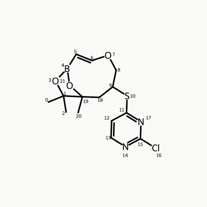 CC1(C)OB2/C=C/OCC(Sc3ccnc(Cl)n3)CC1(C)O2